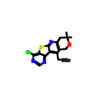 CSCc1c2c(nc3sc4c(Cl)ncnc4c13)CC(C)(C)OC2